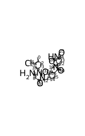 Cc1ccc(-n2c(N)cc(=O)n(Cc3ccc4c(c3)CN(C3CCC(=O)NC3=O)C4=O)c2=O)cc1Cl